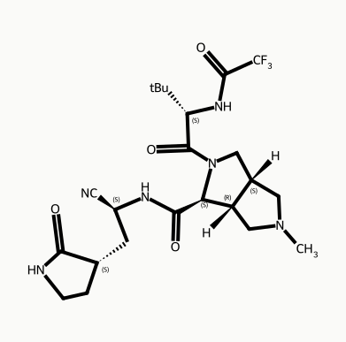 CN1C[C@H]2CN(C(=O)[C@@H](NC(=O)C(F)(F)F)C(C)(C)C)[C@H](C(=O)N[C@H](C#N)C[C@@H]3CCNC3=O)[C@H]2C1